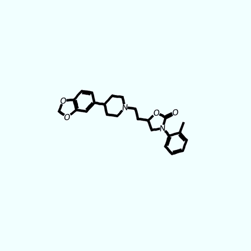 Cc1ccccc1N1CC(CCN2CCC(c3ccc4c(c3)OCO4)CC2)OC1=O